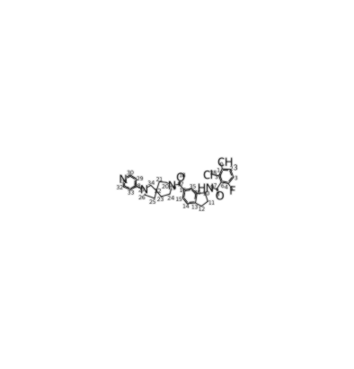 Cc1ccc(F)c(C(=O)NC2CCc3ccc(C(=O)N4CCC5(CC4)CCN(c4ccncc4)C5)cc32)c1Cl